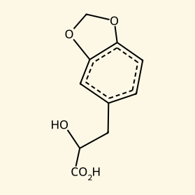 O=C(O)C(O)Cc1ccc2c(c1)OCO2